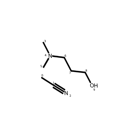 CC#N.CN(C)CCCO